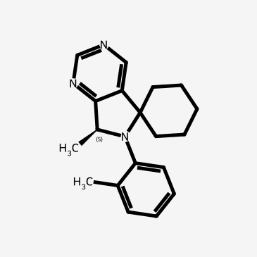 Cc1ccccc1N1[C@@H](C)c2ncncc2C12CCCCC2